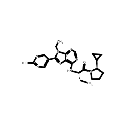 CC[C@H](Nc1ncnc2c1nc(-c1cnc(C)nc1)n2CC)C(=O)N1CCC[C@@H]1C1CC1